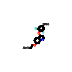 CNCCOc1ccc2c(Oc3c(F)cc(NC)cc3F)ccnc2c1